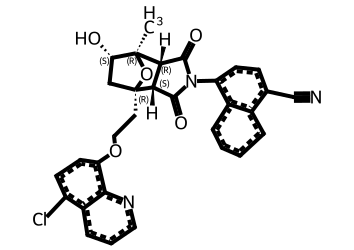 C[C@]12O[C@](CCOc3ccc(Cl)c4cccnc34)(C[C@@H]1O)[C@H]1C(=O)N(c3ccc(C#N)c4ccccc34)C(=O)[C@H]12